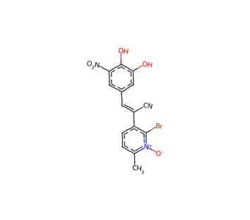 Cc1ccc(C(C#N)=Cc2cc(O)c(O)c([N+](=O)[O-])c2)c(Br)[n+]1[O-]